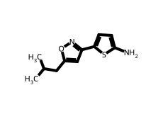 CC(C)Cc1cc(-c2ccc(N)s2)no1